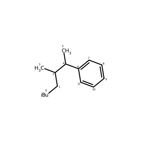 CCC(C)CC(C)C(C)c1ccccc1